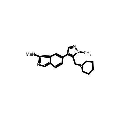 CNc1cc2cc(-c3cnn(C)c3CN3CCCCC3)ccc2cn1